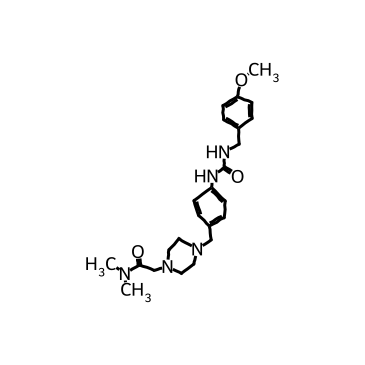 COc1ccc(CNC(=O)Nc2ccc(CN3CCN(CC(=O)N(C)C)CC3)cc2)cc1